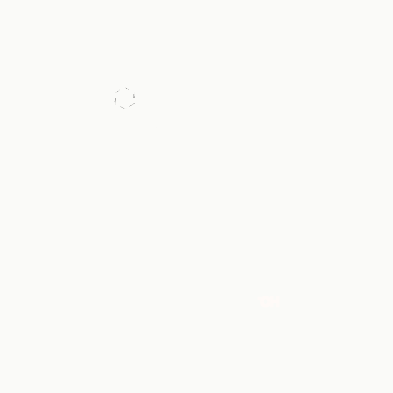 OCCCCCCCCCCCCCCCCCCCCCCc1ccccc1